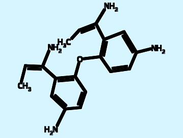 C/C=C(/N)c1cc(N)ccc1Oc1ccc(N)cc1/C(N)=C\C